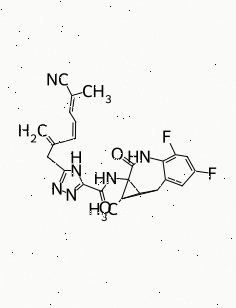 C=C(/C=C\C=C(/C)C#N)Cc1nnc(C(=O)NC23C(=O)Nc4c(F)cc(F)cc4C4C2C43C)[nH]1